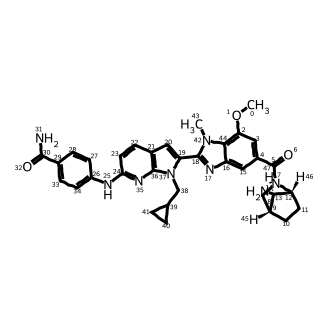 COc1cc(C(=O)N2C[C@H]3CC[C@@H]2[C@@H]3N)cc2nc(-c3cc4ccc(Nc5ccc(C(N)=O)cc5)nc4n3CC3CC3)n(C)c12